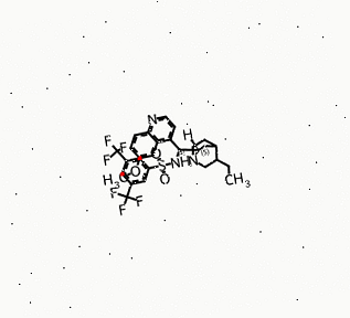 CCC1CN2CCC1C[C@H]2[C@@H](NS(=O)(=O)c1cc(C(F)(F)F)cc(C(F)(F)F)c1)c1ccnc2ccc(OC)cc12